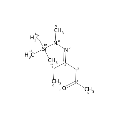 CC/C(CC(C)=O)=N\N(C)[Si](C)(C)C